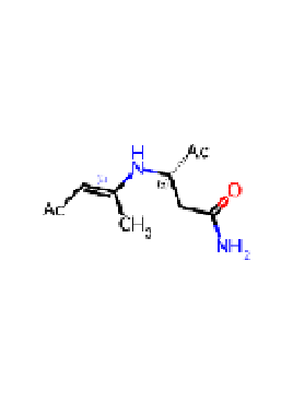 CC(=O)/C=C(\C)N[C@@H](CC(N)=O)C(C)=O